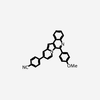 COc1ccc(-c2nc3ccccc3c3cc4cc(-c5ccc(C#N)cc5)ccn4c23)cc1